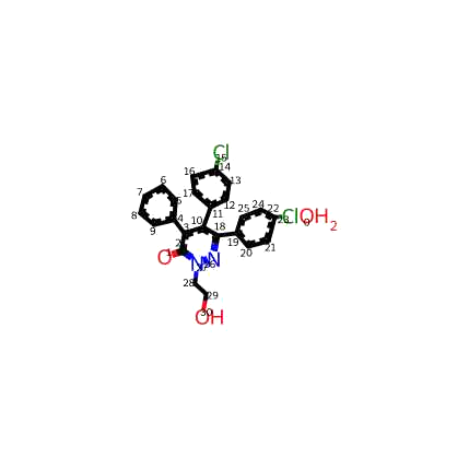 O.O=c1c(-c2ccccc2)c(-c2ccc(Cl)cc2)c(-c2ccc(Cl)cc2)nn1CCO